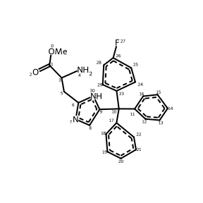 COC(=O)C(N)Cc1ncc(C(c2ccccc2)(c2ccccc2)c2ccc(F)cc2)[nH]1